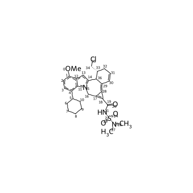 COc1ccc(C2CCCCC2)c2c1cc1n2CC2=C(C(=O)NS(=O)(=O)N(C)C)C2=C2C=CC[C@@H](CCl)C21